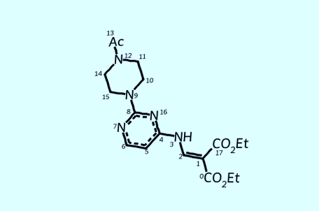 CCOC(=O)C(=CNc1ccnc(N2CCN(C(C)=O)CC2)n1)C(=O)OCC